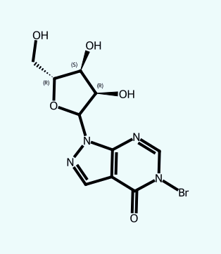 O=c1c2cnn(C3O[C@H](CO)[C@@H](O)[C@H]3O)c2ncn1Br